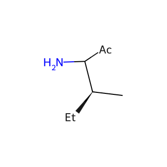 CC[C@H](C)C(N)C(C)=O